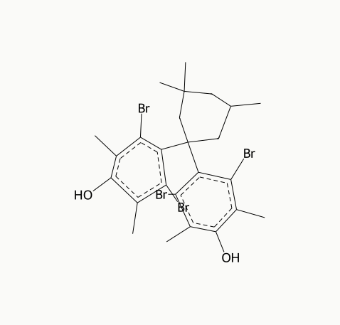 Cc1c(O)c(C)c(Br)c(C2(c3c(Br)c(C)c(O)c(C)c3Br)CC(C)CC(C)(C)C2)c1Br